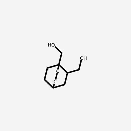 OCC1CC2CCC1(CO)CC2